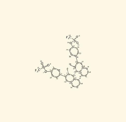 Cc1c(-c2ccc(OS(=O)(=O)C(F)(F)F)cc2)cc2ccccc2c1-c1c(C)c(-c2ccc(OS(=O)(=O)C(F)(F)F)cc2)cc2ccccc12